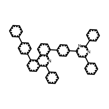 c1ccc(-c2ccc(-c3cccc4c(-c5ccccc5)nc5c(-c6ccc(-c7cc(-c8ccccc8)nc(-c8ccccc8)n7)cc6)cccc5c34)cc2)cc1